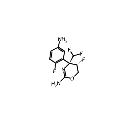 NC1=N[C@@](c2cc(N)ccc2F)(C(F)F)[C@H](F)CO1